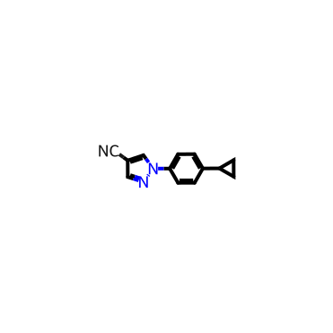 N#Cc1cnn(-c2ccc(C3CC3)cc2)c1